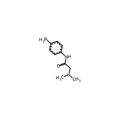 CN(C)CC(=O)Nc1ccc(N)cc1